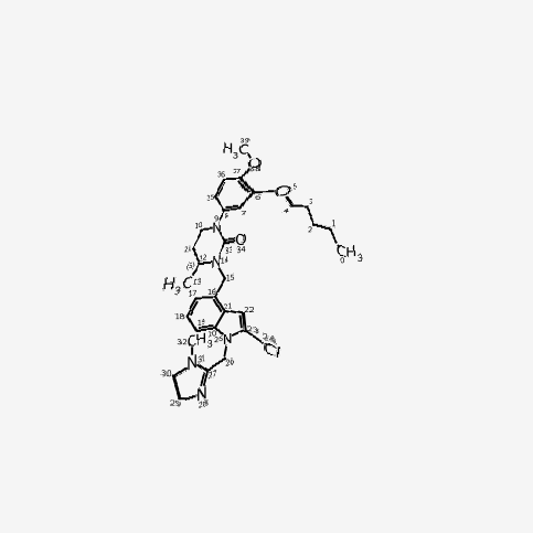 CCCCCOc1cc(N2CC[C@H](C)N(Cc3cccc4c3cc(Cl)n4CC3=NCCN3C)C2=O)ccc1OC